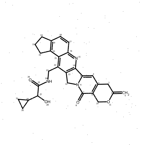 C=C1Cc2cc3n(c(=O)c2CO1)Cc1c-3nc2ccc3c(c2c1CNC(=O)C(O)C1CC1)CCC3